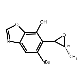 CCCCc1cc2ncoc2c(O)c1C1O[C@@H]1C